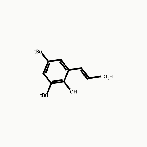 CC(C)(C)c1cc(/C=C/C(=O)O)c(O)c(C(C)(C)C)c1